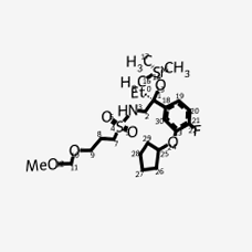 CC[C@](CNS(=O)(=O)CCCOCOC)(O[Si](C)(C)C)c1ccc(F)c(OC2CCCC2)c1